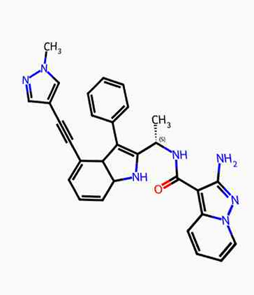 C[C@H](NC(=O)c1c(N)nn2ccccc12)C1=C(c2ccccc2)C2C(C#Cc3cnn(C)c3)=CC=CC2N1